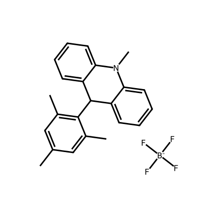 Cc1cc(C)c(C2c3ccccc3N(C)c3ccccc32)c(C)c1.F[B-](F)(F)F